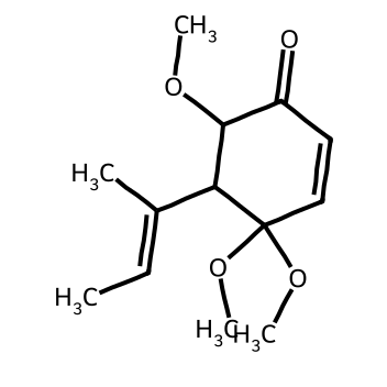 CC=C(C)C1C(OC)C(=O)C=CC1(OC)OC